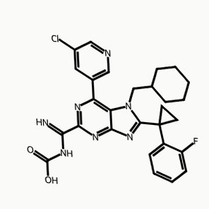 N=C(NC(=O)O)c1nc(-c2cncc(Cl)c2)c2c(n1)nc(C1(c3ccccc3F)CC1)n2CC1CCCCC1